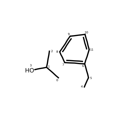 CC(C)O.CCc1ccccc1